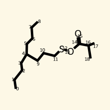 CCCCC(CCCC)CCCSOC(=O)C(C)C